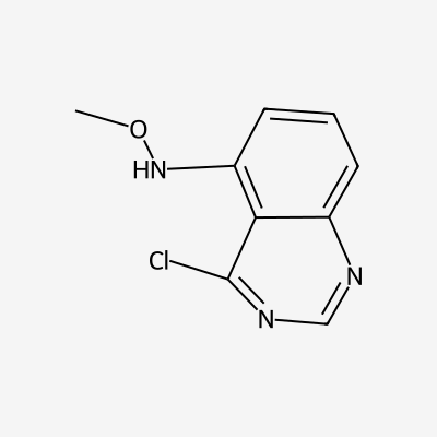 CONc1cccc2ncnc(Cl)c12